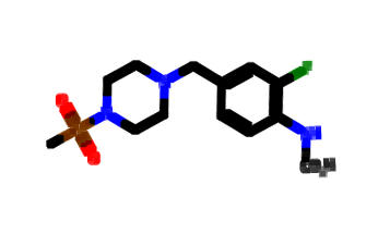 CS(=O)(=O)N1CCN(Cc2ccc(NC(=O)O)c(F)c2)CC1